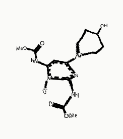 COC(=O)Nc1cc(N2CCC(O)CC2)nc(NC(=O)OC)[n+]1[O-]